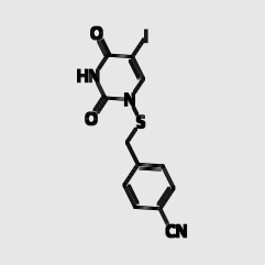 N#Cc1ccc(CSn2cc(I)c(=O)[nH]c2=O)cc1